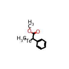 COC(=O)C([Te]C)c1ccccc1